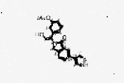 COc1cccc(C(CO)N2Cc3ccc(-c4cn[nH]c4)cc3C2=O)c1